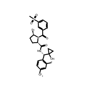 CC[C@@H]1CC[C@H](C(=O)N[C@@H](c2ccc(C(F)(F)F)cc2F)C2(O)CC2)N1C(=O)c1cccc(S(C)(=O)=O)c1